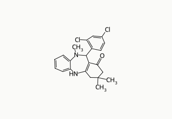 CN1c2ccccc2NC2=C(C(=O)CC(C)(C)C2)C1c1ccc(Cl)cc1Cl